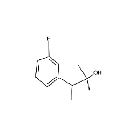 CC(c1cccc(F)c1)C(C)(C)O